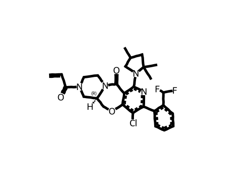 C=CC(=O)N1CCN2C(=O)c3c(N4CC(C)CC4(C)C)nc(-c4ccccc4C(F)F)c(Cl)c3OC[C@H]2C1